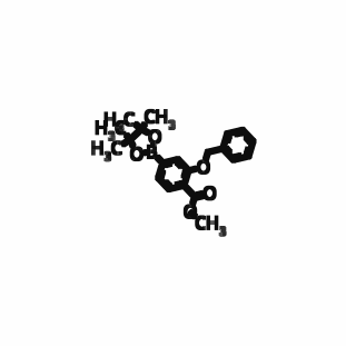 COC(=O)c1ccc(B2OC(C)(C)C(C)(C)O2)cc1OCc1ccccc1